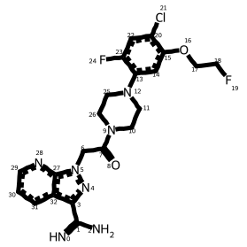 N=C(N)c1nn(CC(=O)N2CCN(c3cc(OCCF)c(Cl)cc3F)CC2)c2ncccc12